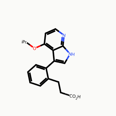 CC(C)Oc1ccnc2[nH]cc(-c3ccccc3CCC(=O)O)c12